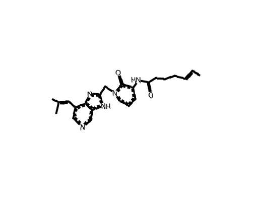 C/C=C/CCCC(=O)Nc1cccn(Cc2nc3c(C=C(C)C)cncc3[nH]2)c1=O